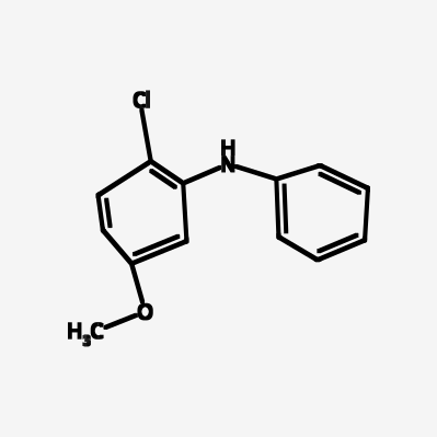 COc1ccc(Cl)c(Nc2ccccc2)c1